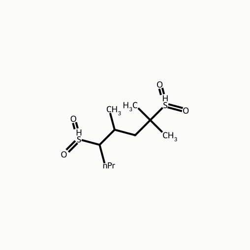 CCCC(C(C)CC(C)(C)[SH](=O)=O)[SH](=O)=O